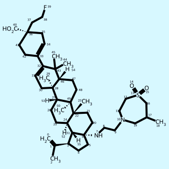 C=C(C)[C@@H]1CC[C@]2(NCCN3CCS(=O)(=O)CC(C)C3)CC[C@]3(C)[C@H](CC[C@@H]4[C@@]5(C)CC=C(C6=CC[C@@](CCF)(C(=O)O)CC6)C(C)(C)[C@@H]5CC[C@]43C)[C@@H]12